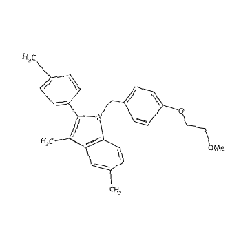 COCCOc1ccc(Cn2c(-c3ccc(C)cc3)c(C)c3cc(C)ccc32)cc1